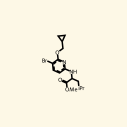 COC(=O)C(CC(C)C)Nc1ccc(Br)c(OCC2CC2)n1